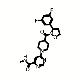 CNC(=O)c1cc(N2CCC(C(=O)N3OCCC3c3cc(F)cc(F)c3)CC2)ncn1